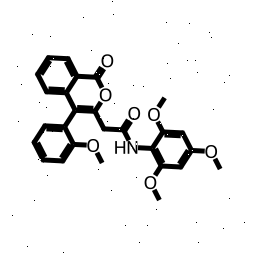 COc1cc(OC)c(NC(=O)Cc2oc(=O)c3ccccc3c2-c2ccccc2OC)c(OC)c1